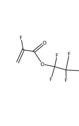 C=C(F)C(=O)OC(F)(F)C(C)(F)F